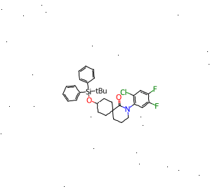 CC(C)(C)[Si](OC1CCC2(CCCN(c3cc(F)c(F)cc3Cl)C2=O)CC1)(c1ccccc1)c1ccccc1